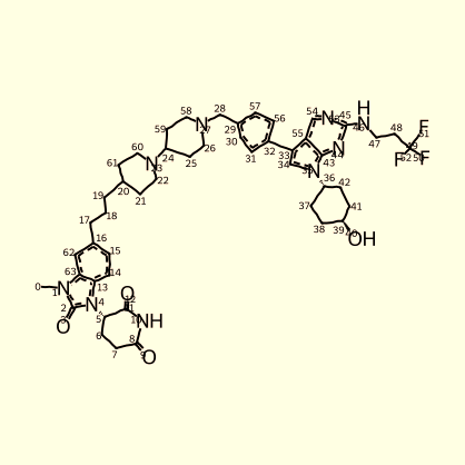 Cn1c(=O)n([C@H]2CCC(=O)NC2=O)c2ccc(CCCC3CCN(C4CCN(Cc5ccc(-c6cn([C@H]7CC[C@H](O)CC7)c7nc(NCCC(F)(F)F)ncc67)cc5)CC4)CC3)cc21